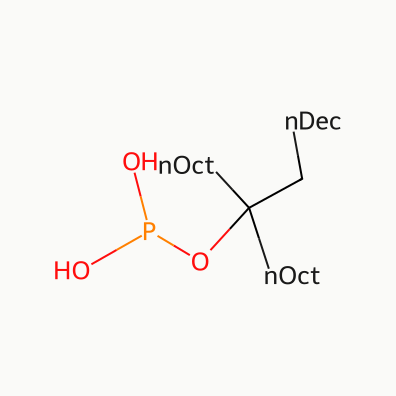 CCCCCCCCCCCC(CCCCCCCC)(CCCCCCCC)OP(O)O